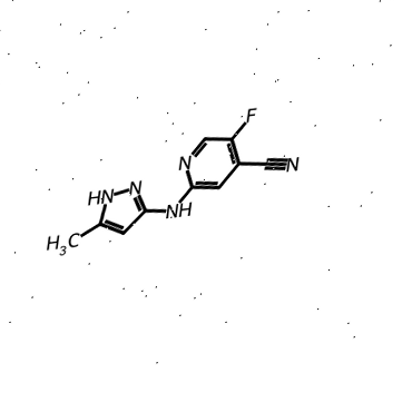 Cc1cc(Nc2cc(C#N)c(F)cn2)n[nH]1